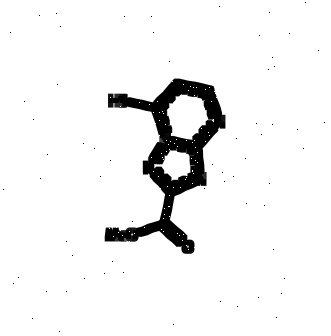 COC(=O)c1nc2nccc(S)n2n1